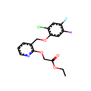 CCOC(=O)COc1ncccc1COc1cc(I)c(F)cc1Cl